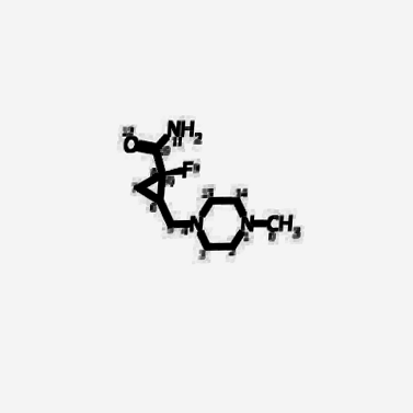 CN1CCN(CC2C[C@]2(F)C(N)=O)CC1